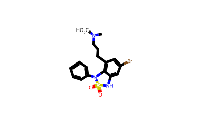 CN(CCCc1cc(Br)cc2c1N(c1ccccc1)S(=O)(=O)N2)C(=O)O